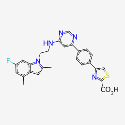 Cc1cc(F)cc2c1cc(C)n2CCNc1cc(-c2ccc(-c3csc(C(=O)O)n3)cc2)ncn1